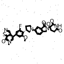 COc1cc(-c2cn(C)c(=O)c3sncc23)cc(F)c1[C@@H]1CCN(c2ccc3c(c2)C(=O)N(C2(O)CCC(=O)NC2=O)C3)C1